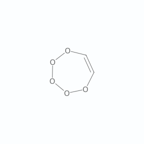 C1=COOOOO1